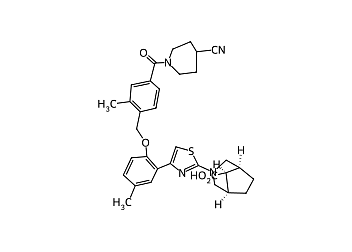 Cc1ccc(OCc2ccc(C(=O)N3CCC(C#N)CC3)cc2C)c(-c2csc(N3C[C@H]4CC[C@@H](C3)[C@H]4C(=O)O)n2)c1